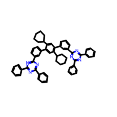 c1ccc(-c2nc(-c3ccccc3)nc(-c3cccc(-c4cc(C5CCCCC5)c(-c5cccc(-c6nc(-c7ccccc7)nc(-c7ccccc7)n6)c5)cc4C4CCCCC4)c3)n2)cc1